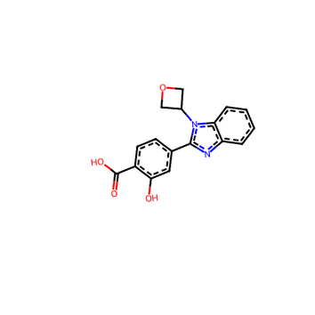 O=C(O)c1ccc(-c2nc3ccccc3n2C2COC2)cc1O